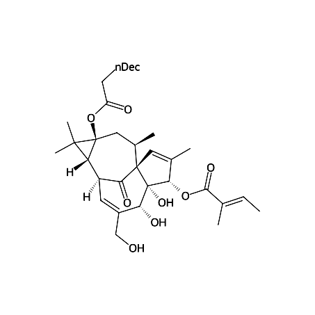 C/C=C(\C)C(=O)O[C@H]1C(C)=C[C@]23C(=O)[C@@H](C=C(CO)[C@@H](O)[C@]12O)[C@@H]1C(C)(C)[C@]1(OC(=O)CCCCCCCCCCC)C[C@H]3C